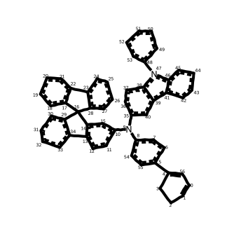 C1=CCCC(c2ccc(N(c3ccc4c(c3)C3(c5ccccc5-c5ccccc53)c3ccccc3-4)c3ccc4c(c3)c3ccccc3n4-c3ccccc3)cc2)=C1